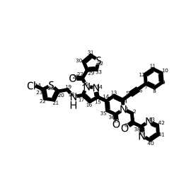 O=C(Cn1c(C#Cc2ccccc2)cc(-c2cc(NCc3ccc(Cl)s3)n(C(=O)c3ccsc3)n2)cc1=O)c1ncccn1